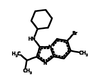 Cc1cc2nc(C(C)C)c(NC3CCCCC3)n2cc1Br